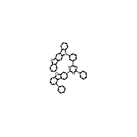 c1ccc(-c2nc(-c3cccc(-n4c5ccccc5c5cc6oc7ccccc7c6cc54)c3)nc(-c3ccc4c(c3)oc3cccc(-c5ccccc5)c34)n2)cc1